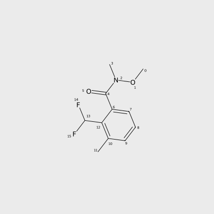 CON(C)C(=O)c1cccc(C)c1C(F)F